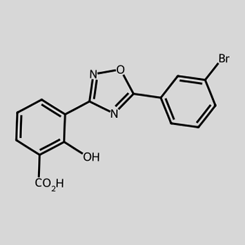 O=C(O)c1cccc(-c2noc(-c3cccc(Br)c3)n2)c1O